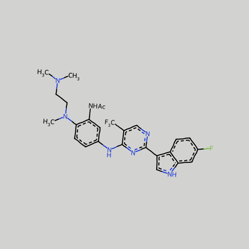 CC(=O)Nc1cc(Nc2nc(-c3c[nH]c4cc(F)ccc34)ncc2C(F)(F)F)ccc1N(C)CCN(C)C